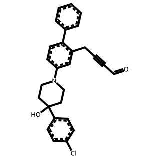 O=CC#CCc1cc(N2CCC(O)(c3ccc(Cl)cc3)CC2)ccc1-c1ccccc1